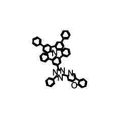 c1ccc(-c2ccc3c(c2)c2cc(-c4ccccc4)ccc2n3-c2c(-c3ccccc3)cc(-c3nc(-c4ccccc4)nc(-c4cc5oc6ccccc6c5cn4)n3)cc2-c2ccccc2)cc1